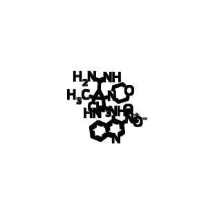 CC1(C)C(C(=N)N)C1(C(=N)Nc1c([N+](=O)[O-])cnc2ccccc12)N1CCOCC1